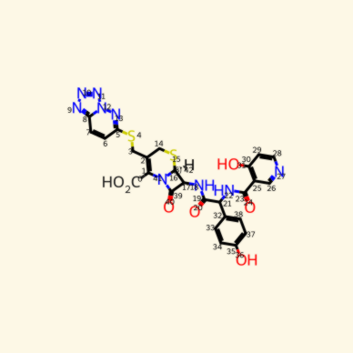 O=C(O)C1=C(CSc2ccc3nnnn3n2)CS[C@H]2C(NC(=O)C(NC(=O)c3cnccc3O)c3ccc(O)cc3)C(=O)N12